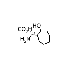 N[C@H](C(=O)O)C1CCCCCC1O